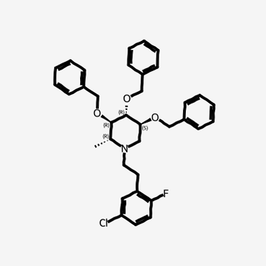 C[C@@H]1[C@@H](OCc2ccccc2)[C@H](OCc2ccccc2)[C@@H](OCc2ccccc2)CN1CCc1cc(Cl)ccc1F